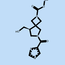 CC(C)(C)OC(=O)N1CC2(C1)CN(C(=O)c1cncs1)C[C@H]2CO